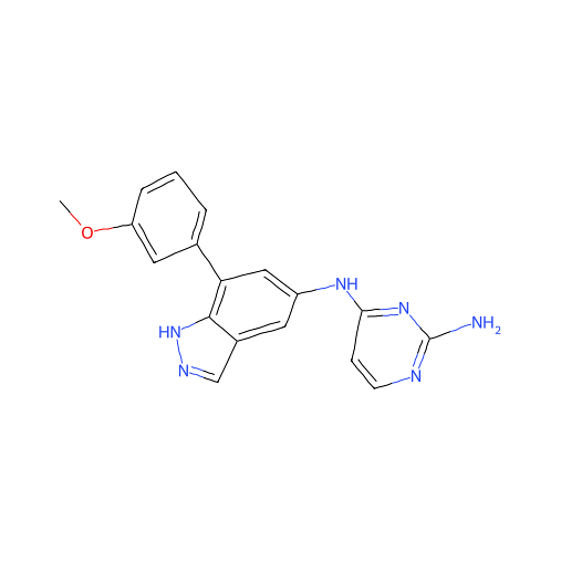 COc1cccc(-c2cc(Nc3ccnc(N)n3)cc3cn[nH]c23)c1